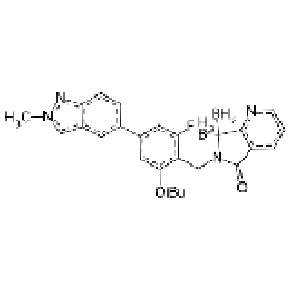 BC1(B)c2ncccc2C(=O)N1Cc1c(F)cc(-c2ccc3nn(C)cc3c2)cc1OCC(C)C